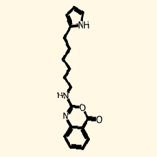 O=c1oc(NCCCCCCc2ccc[nH]2)nc2ccccc12